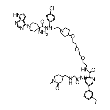 CCc1cccc(-c2cnc(C(=O)NCCOCCOCCOC3CCN(CC[C@H](NC(=O)C4(N)CCN(c5ncnc6[nH]ccc56)CC4)c4ccc(Cl)cc4)CC3)c(NC(=O)CNCC3CCN(C)C(=O)C3)c2)c1